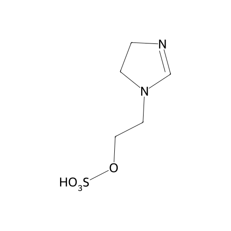 O=S(=O)(O)OCCN1C=NCC1